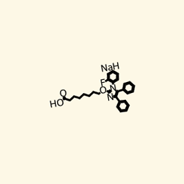 O=C(O)CCCCCCCOc1nc(-c2ccccc2)c(-c2ccccc2)n1-c1ccccc1F.[NaH]